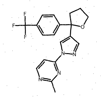 Cc1nccc(-n2cc(C3(c4ccc(C(F)(F)F)cc4)CCCO3)cn2)n1